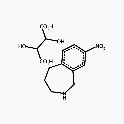 O=C(O)C(O)C(O)C(=O)O.O=[N+]([O-])c1ccc2c(c1)CNCCC2